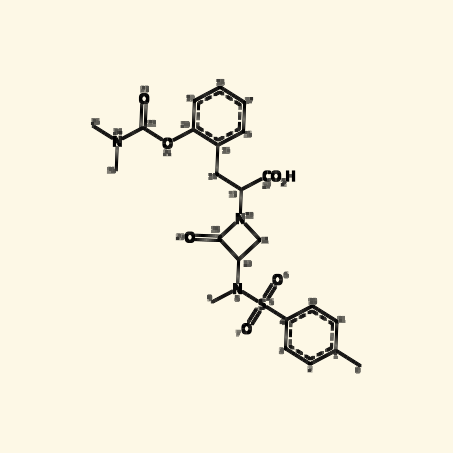 Cc1ccc(S(=O)(=O)N(C)C2CN(C(Cc3ccccc3OC(=O)N(C)C)C(=O)O)C2=O)cc1